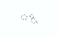 Cn1nc(-c2ccccc2)c2c(C(F)(F)F)cc(=O)[nH]c21